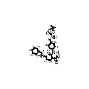 CC(C)(C)OC(=O)NCc1ccc(Nc2nc(NCc3ccccc3)ccc2[N+](=O)[O-])cc1